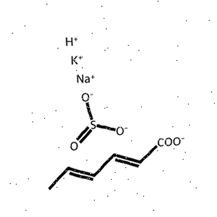 C/C=C/C=C/C(=O)[O-].O=S([O-])[O-].[H+].[K+].[Na+]